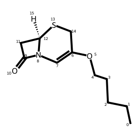 CCCCCOC1=CN2C(=O)C[C@H]2SC1